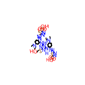 CCN(CC)c1ccc(/N=N/c2nnc(S(=O)(=O)O)s2)c(Nc2nc(Nc3cc(N(CC)CC)ccc3/N=N/c3nnc(S(=O)(=O)O)s3)nc(SCCO)n2)c1